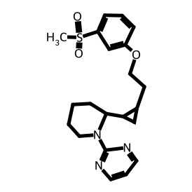 CS(=O)(=O)c1cccc(OCCC2CC2C2CCCCN2c2ncccn2)c1